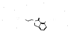 COCCN1Cc2cccc(C(=O)O)c2C1=O